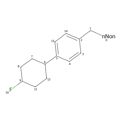 CCCCCCCCCCc1ccc(C2CCC(F)CC2)cc1